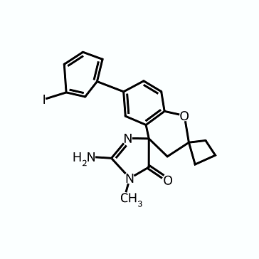 CN1C(=O)C2(CC3(CCC3)Oc3ccc(-c4cccc(I)c4)cc32)N=C1N